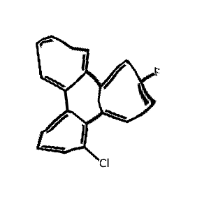 Fc1ccc2c(c1)c1ccccc1c1cccc(Cl)c12